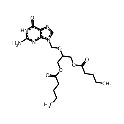 CCCCC(=O)OCC(COC(=O)CCCC)OCn1cnc2c(=O)[nH]c(N)nc21